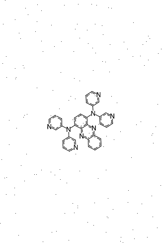 c1cncc(N(c2cccnc2)c2ccc(N(c3cccnc3)c3cccnc3)c3nc4ccccc4nc23)c1